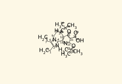 C=Cc1nc2n(c1C=C)CCCc1c-2nc(OC(C)(C)C)c(C(=O)O)c1OC(C)(C)C